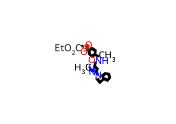 CCOC(=O)CS(=O)(=O)c1ccc(C(C)NC(=O)c2cc(-n3ccc4ccccc43)nn2C)cc1